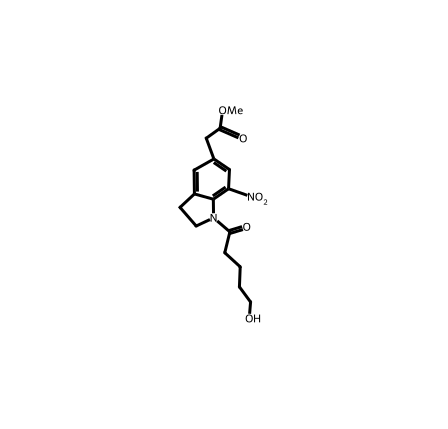 COC(=O)Cc1cc2c(c([N+](=O)[O-])c1)N(C(=O)CCCCO)CC2